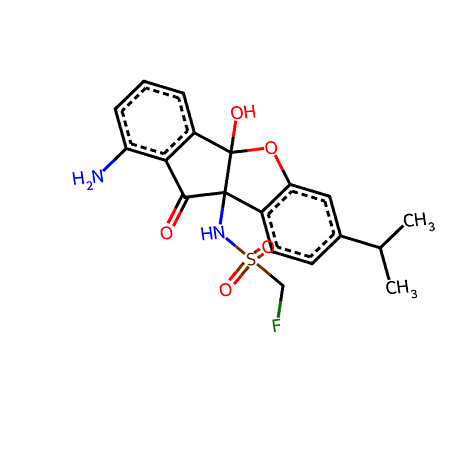 CC(C)c1ccc2c(c1)OC1(O)c3cccc(N)c3C(=O)C21NS(=O)(=O)CF